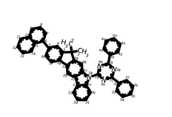 CC1(C)c2cc(-c3cccc4ccccc34)ccc2-c2cc3c4ccccc4n(-c4nc(-c5ccccc5)nc(-c5ccccc5)n4)c3cc21